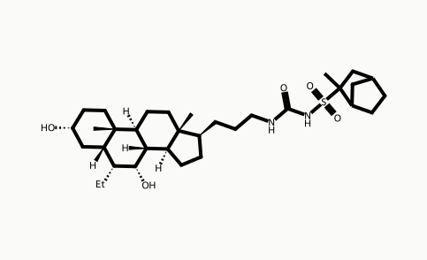 CC[C@H]1[C@@H](O)[C@@H]2[C@H](CC[C@]3(C)[C@@H](CCCNC(=O)NS(=O)(=O)C4(C)CC5CCC4C5)CC[C@@H]23)[C@@]2(C)CC[C@@H](O)C[C@@H]12